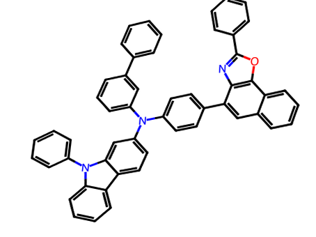 c1ccc(-c2cccc(N(c3ccc(-c4cc5ccccc5c5oc(-c6ccccc6)nc45)cc3)c3ccc4c5ccccc5n(-c5ccccc5)c4c3)c2)cc1